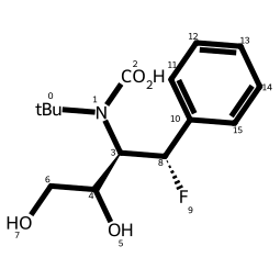 CC(C)(C)N(C(=O)O)[C@H](C(O)CO)[C@@H](F)c1ccccc1